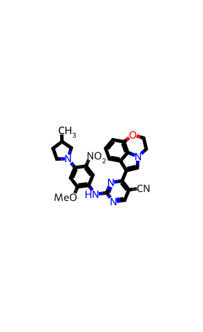 COc1cc(N2CCC(C)C2)c([N+](=O)[O-])cc1Nc1ncc(C#N)c(-c2cn3c4c(cccc24)OCC3)n1